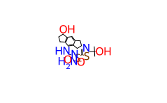 CC(C)(O)c1ncc(S(N)(=O)=NC(=O)Nc2c3c(cc4c2CCC4O)CCC3)s1